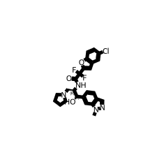 Cn1ncc2ccc([C@@H](O)[C@@H](CN3CCCC3)NC(=O)C(F)(F)c3cc4cc(Cl)ccc4o3)cc21